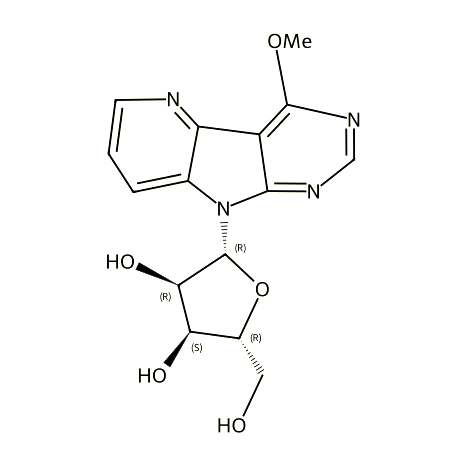 COc1ncnc2c1c1ncccc1n2[C@@H]1O[C@H](CO)[C@@H](O)[C@H]1O